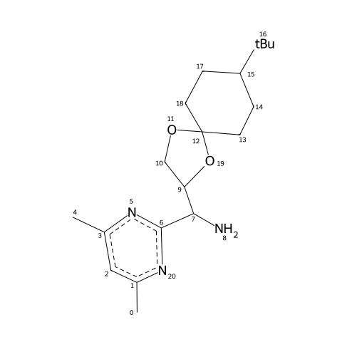 Cc1cc(C)nc(C(N)C2COC3(CCC(C(C)(C)C)CC3)O2)n1